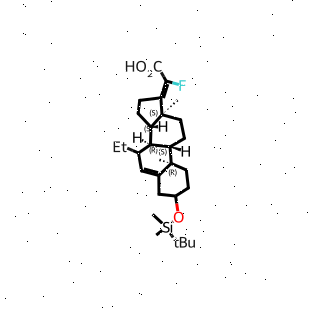 CCC1C=C2CC(O[Si](C)(C)C(C)(C)C)CC[C@]2(C)[C@H]2CC[C@]3(C)C(=C(F)C(=O)O)CC[C@H]3[C@H]12